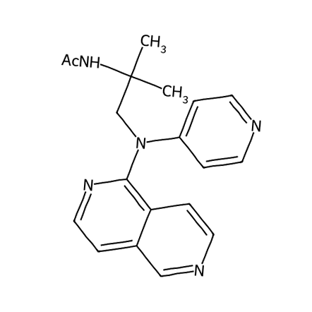 CC(=O)NC(C)(C)CN(c1ccncc1)c1nccc2cnccc12